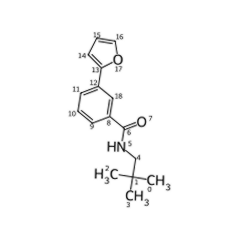 CC(C)(C)CNC(=O)c1cccc(-c2ccco2)c1